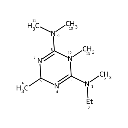 CCN(C)C1=NC(C)N=C(N(C)C)N1C